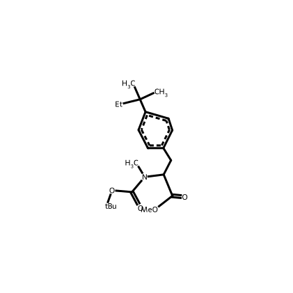 CCC(C)(C)c1ccc(CC(C(=O)OC)N(C)C(=O)OC(C)(C)C)cc1